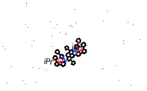 CC(C)c1ccccc1-c1cccc2c1oc1c(N(c3ccc(C4CCCCC4)cc3)c3cc(C4CCCC4)c4ccc5c(N(c6ccc(C7CCCCC7)cc6)c6cccc7c6oc6c(-c8ccccc8C(C)C)cccc67)cc(C6CCCC6)c6ccc3c4c65)cccc12